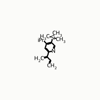 C=CC(=C)c1cc(C(C)C)c([Si](C)(C)C)cn1